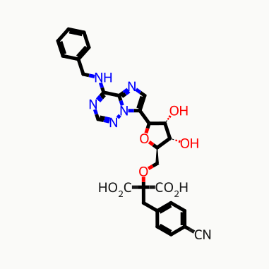 N#Cc1ccc(CC(OC[C@H]2OC(c3cnc4c(NCc5ccccc5)ncnn34)[C@H](O)[C@@H]2O)(C(=O)O)C(=O)O)cc1